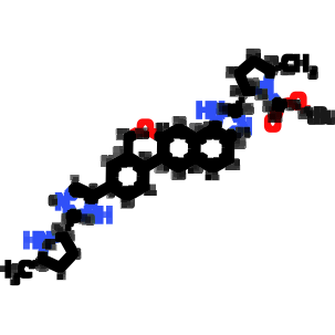 C[C@H]1CC[C@@H](c2ncc(-c3ccc4c(c3)COc3cc5c(ccc6nc([C@@H]7CC[C@H](C)N7C(=O)OC(C)(C)C)[nH]c65)cc3-4)[nH]2)N1